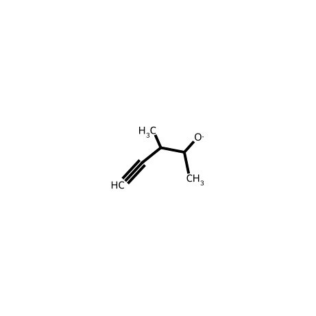 C#CC(C)C(C)[O]